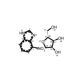 O=[N+]([O-])c1cccc2[nH]cnc12.OC[C@H]1OC[C@H](O)[C@@H]1O